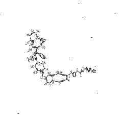 COCCOCc1ccc2ccc(CN3CCC(NC(=O)c4cnc5ccccc5c4)CC3)cc2c1